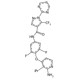 CC(C)c1c(Oc2c(F)cc(NC(=O)c3cnn(-c4ncccn4)c3C(F)(F)F)cc2F)ccnc1N